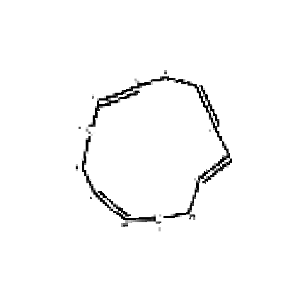 [C]1=C/C=C\C/C=C\CC/C=C\CC/1